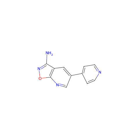 Nc1noc2ncc(-c3ccncc3)cc12